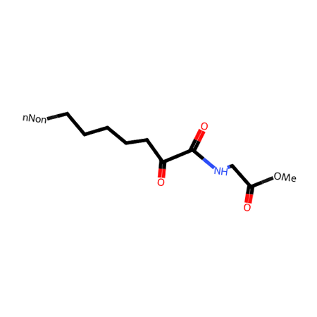 CCCCCCCCCCCCCCC(=O)C(=O)NCC(=O)OC